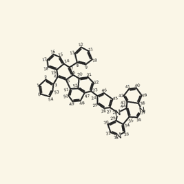 c1ccc(-c2c3c(c(-c4ccccc4)c4ccccc24)-c2ccc(-c4ccc(-n5c6ccncc6c6cnc7ccccc7c65)cc4)c4cccc-3c24)cc1